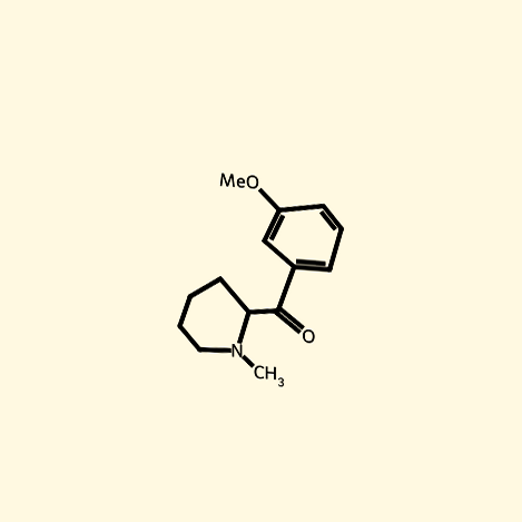 COc1cccc(C(=O)C2CCCCN2C)c1